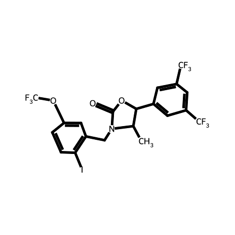 CC1C(c2cc(C(F)(F)F)cc(C(F)(F)F)c2)OC(=O)N1Cc1cc(OC(F)(F)F)ccc1I